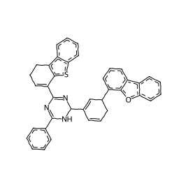 C1=CC(C2N=C(C3=CCCc4c3sc3ccccc43)N=C(c3ccccc3)N2)=CC(c2cccc3c2oc2ccccc23)C1